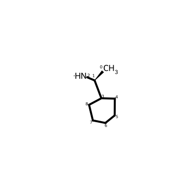 C[C@H]([NH])C1CCCCC1